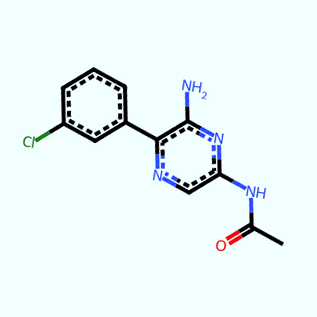 CC(=O)Nc1cnc(-c2cccc(Cl)c2)c(N)n1